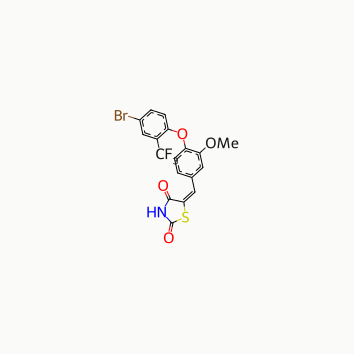 COc1cc(/C=C2/SC(=O)NC2=O)ccc1Oc1ccc(Br)cc1C(F)(F)F